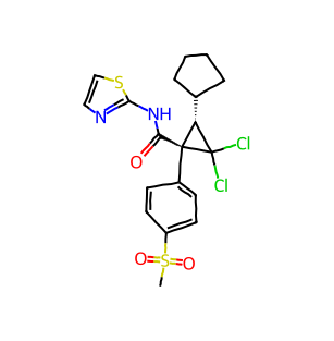 CS(=O)(=O)c1ccc([C@]2(C(=O)Nc3nccs3)[C@H](C3CCCC3)C2(Cl)Cl)cc1